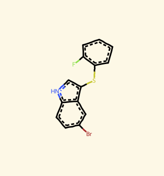 Fc1ccccc1Sc1c[nH]c2ccc(Br)cc12